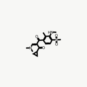 CNc1c(S(C)(=O)=O)ccc(C(=O)C(=CN(C)C)C(=O)C2CC2)c1C